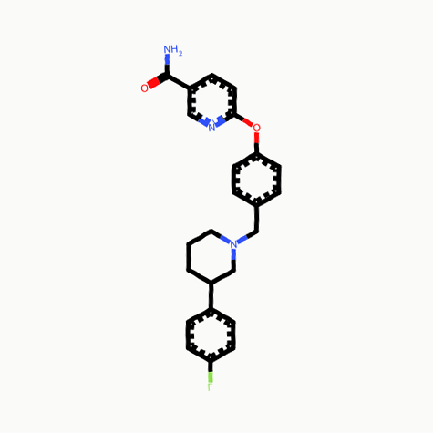 NC(=O)c1ccc(Oc2ccc(CN3CCCC(c4ccc(F)cc4)C3)cc2)nc1